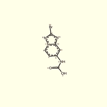 O=C(O)Nc1ccn2nc(Br)nc2c1